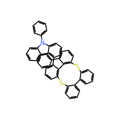 c1ccc(-c2cccc3c2-c2c(cccc2-c2cccc4c2c2ccccc2n4-c2ccccc2)Sc2ccccc2-c2ccccc2S3)cc1